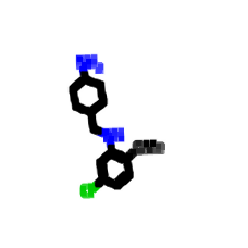 COc1ccc(Cl)cc1NCC1CCC(N)CC1